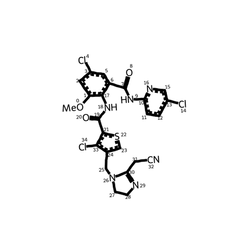 COc1cc(Cl)cc(C(=O)Nc2ccc(Cl)cn2)c1NC(=O)c1scc(CN2CCN=C2CC#N)c1Cl